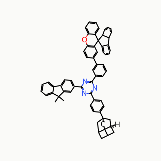 CC1(C)c2ccccc2-c2ccc(-c3nc(-c4ccc(C56CC7CC8C[C@@H](C5)C87C6)cc4)nc(-c4cccc(-c5ccc6c(c5)C5(c7ccccc7O6)c6ccccc6C6C=CC=CC65)c4)n3)cc21